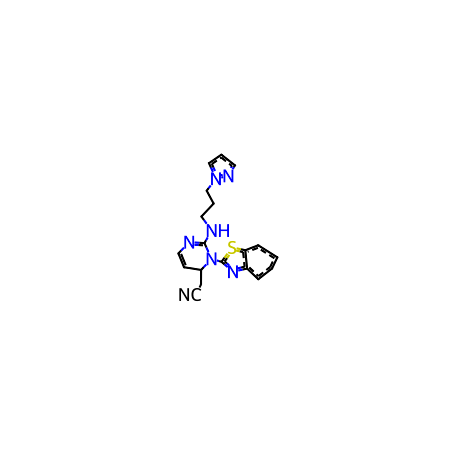 N#CCC1C=CN=C(NCCCn2cccn2)N1c1nc2ccccc2s1